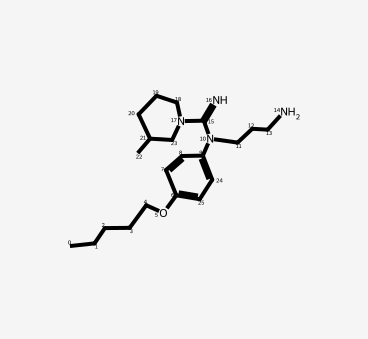 CCCCCOc1ccc(N(CCCN)C(=N)N2CCCC(C)C2)cc1